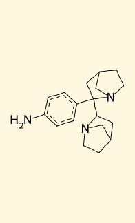 Nc1ccc(C2(C3CC4CCN3C4)CC3CCN2C3)cc1